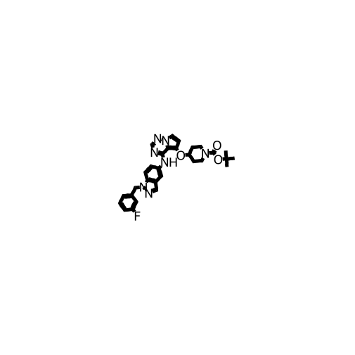 CC(C)(C)OC(=O)N1CCC(Oc2ccn3ncnc(Nc4ccc5c(cnn5Cc5cccc(F)c5)c4)c23)CC1